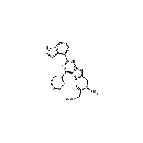 COCC(=O)N(C)Cc1cc2nc(-c3cccc4[nH]ncc34)nc(N3CCOCC3)c2s1